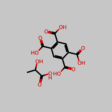 CC(O)C(=O)O.O=C(O)c1cc(C(=O)O)c(C(=O)O)cc1C(=O)O